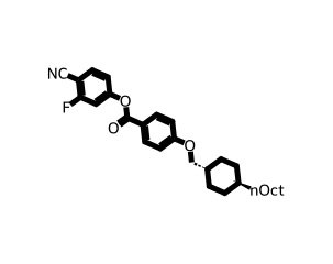 CCCCCCCC[C@H]1CC[C@H](COc2ccc(C(=O)Oc3ccc(C#N)c(F)c3)cc2)CC1